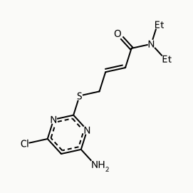 CCN(CC)C(=O)C=CCSc1nc(N)cc(Cl)n1